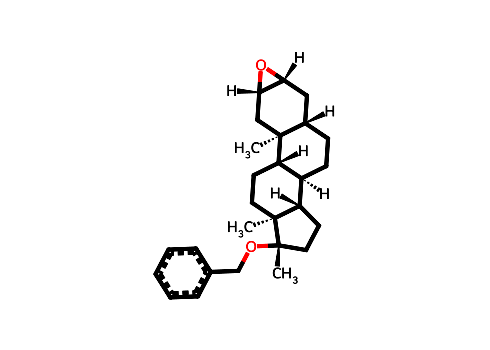 C[C@]12C[C@@H]3O[C@@H]3C[C@@H]1CC[C@@H]1[C@@H]2CC[C@@]2(C)[C@H]1CC[C@]2(C)OCc1ccccc1